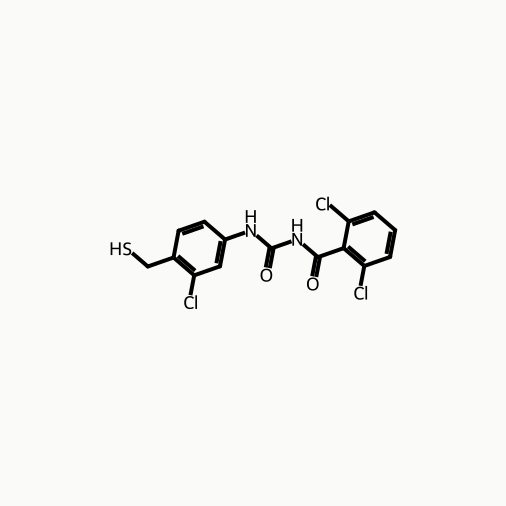 O=C(NC(=O)c1c(Cl)cccc1Cl)Nc1ccc(CS)c(Cl)c1